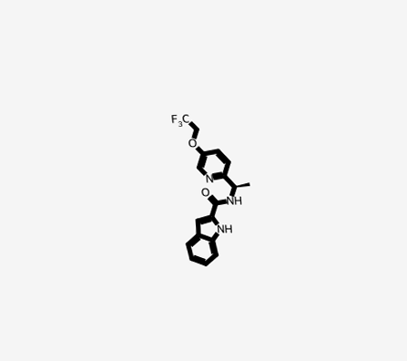 C[C@@H](NC(=O)c1cc2ccccc2[nH]1)c1ccc(OCC(F)(F)F)cn1